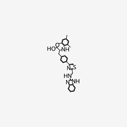 Cc1cc(C)c(NC(Cc2ccc(-c3csc(CNc4nc5ccccc5[nH]4)n3)cc2)C(=O)O)c(C)c1